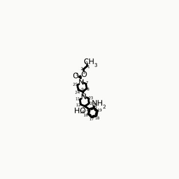 CCCOC(=O)N1CCC(N2CCC(O)(c3ccccc3N)CC2)CC1